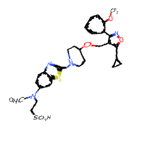 O=CN(CCS(=O)(=O)O)c1ccc2nc(N3CCC(OCc4c(-c5ccccc5OC(F)(F)F)noc4C4CC4)CC3)sc2c1